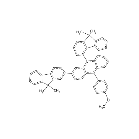 COc1ccc(-c2c3ccccc3c(-c3cccc4c3-c3ccccc3C4(C)C)c3cc(-c4ccc5c(c4)C(C)(C)c4ccccc4-5)ccc23)cc1